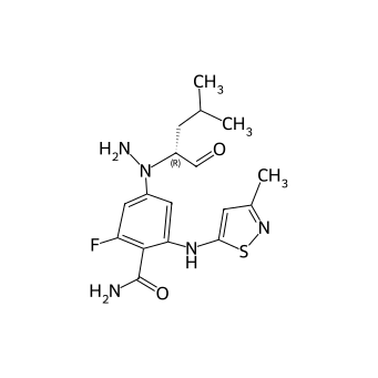 Cc1cc(Nc2cc(N(N)[C@@H](C=O)CC(C)C)cc(F)c2C(N)=O)sn1